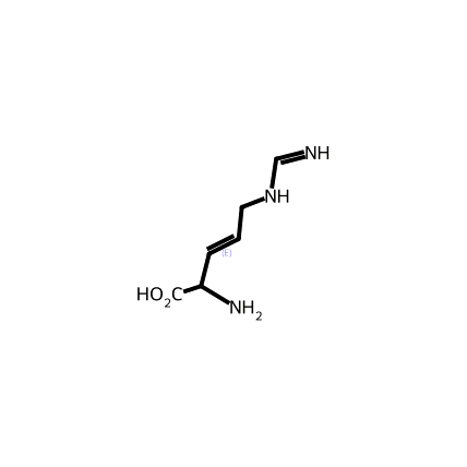 N=CNC/C=C/C(N)C(=O)O